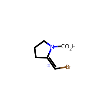 O=C(O)N1CCC/C1=C/Br